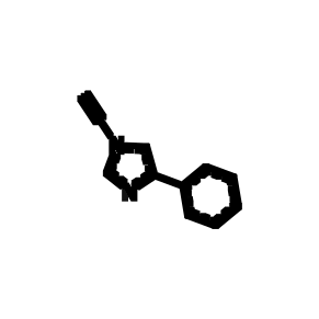 C#Cn1cnc(-c2ccccc2)c1